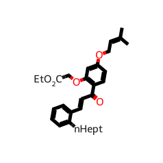 CCCCCCCc1ccccc1C=CC(=O)c1ccc(OCC=C(C)C)cc1OCC(=O)OCC